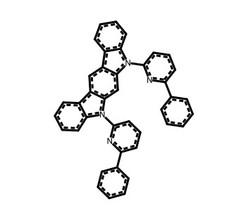 c1ccc(-c2cccc(-n3c4ccccc4c4cc5c6ccccc6n(-c6cccc(-c7ccccc7)n6)c5cc43)n2)cc1